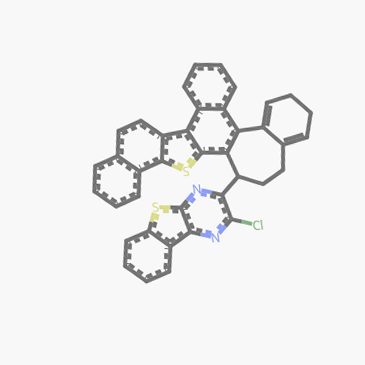 Clc1nc2c(nc1C1CCC3=CCCC=C3c3c1c1sc4c5ccccc5ccc4c1c1ccccc31)sc1ccccc12